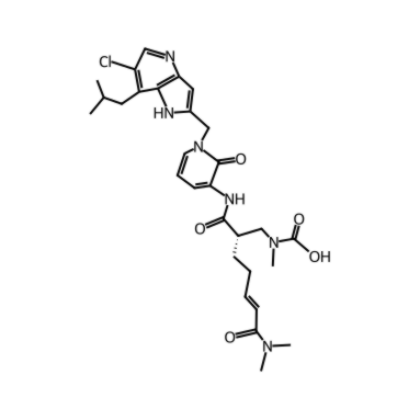 CC(C)Cc1c(Cl)cnc2cc(Cn3cccc(NC(=O)[C@@H](CC/C=C/C(=O)N(C)C)CN(C)C(=O)O)c3=O)[nH]c12